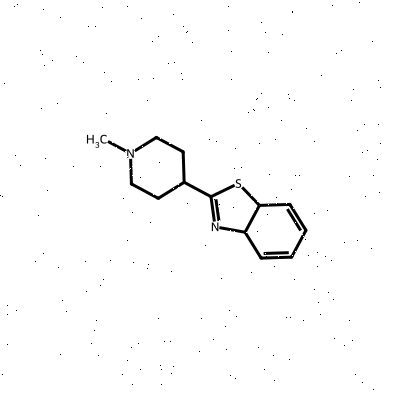 CN1CCC(C2=NC3C=CC=CC3S2)CC1